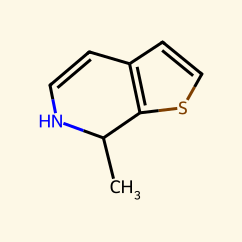 CC1NC=Cc2ccsc21